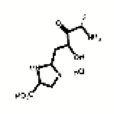 C[C@H](N)C(=O)C(O)CC1NC(C(=O)O)CS1.Cl